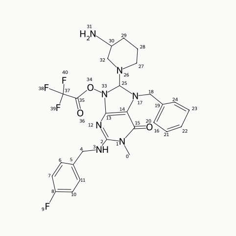 Cn1c(NCc2ccc(F)cc2)nc2c(c1=O)N(Cc1ccccc1)C(N1CCCC(N)C1)N2OC(=O)C(F)(F)F